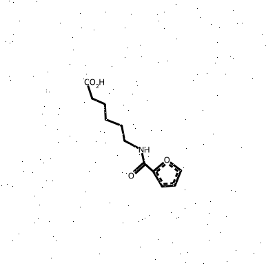 O=C(O)CCCCCNC(=O)c1ccco1